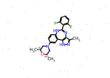 Cc1n[nH]c2c1N=C(c1c(F)cccc1F)Nc1ccc(N3C[C@H](C)O[C@@H](C)C3)cc1-2